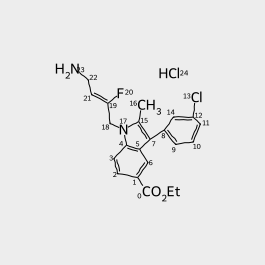 CCOC(=O)c1ccc2c(c1)c(-c1cccc(Cl)c1)c(C)n2C/C(F)=C/CN.Cl